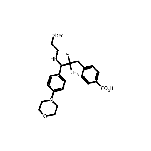 CCCCCCCCCCCCNC(c1ccc(N2CCOCC2)cc1)C(C)(CC)Cc1ccc(C(=O)O)cc1